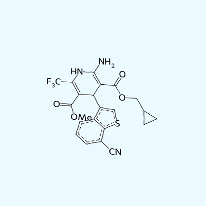 COC(=O)C1=C(C(F)(F)F)NC(N)=C(C(=O)OCC2CC2)C1c1csc2c(C#N)cccc12